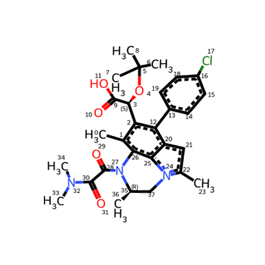 Cc1c([C@H](OC(C)(C)C)C(=O)O)c(-c2ccc(Cl)cc2)c2cc(C)n3c2c1N(C(=O)C(=O)N(C)C)[C@H](C)C3